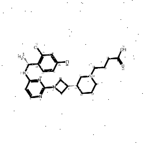 C[C@@H](Nc1ccnc(N2CC([C@H]3CCCN(CCCC(=O)O)C3)C2)n1)c1ccc(Cl)cc1Cl